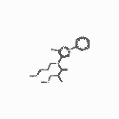 CSCCCN(C(=O)C(C)CSC)c1cn(-c2cccnc2)nc1C